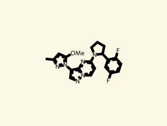 COc1cc(C)nn1-c1cnn2ccc(N3CCCC3c3cc(F)ccc3F)nc12